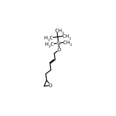 CC(C)(C)[Si](C)(C)OCC=CCCC1CO1